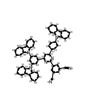 N#Cc1cc(C#N)cc(-c2nc(-c3ccc(-n4c5ccccc5c5ccccc54)cc3)cc(-c3cc(-n4c5ccccc5c5ccccc54)cc(-n4c5ccccc5c5ccccc54)c3)n2)c1